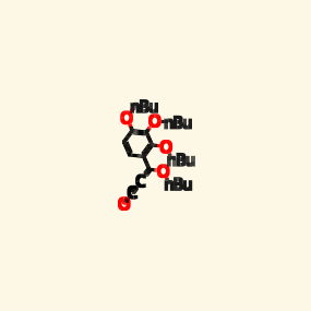 CCCCOC(=C=C=O)c1ccc(OCCCC)c(OCCCC)c1OCCCC